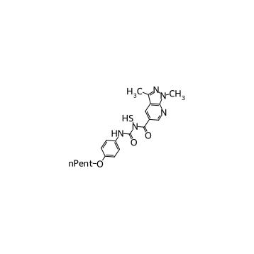 CCCCCOc1ccc(NC(=O)N(S)C(=O)c2cnc3c(c2)c(C)nn3C)cc1